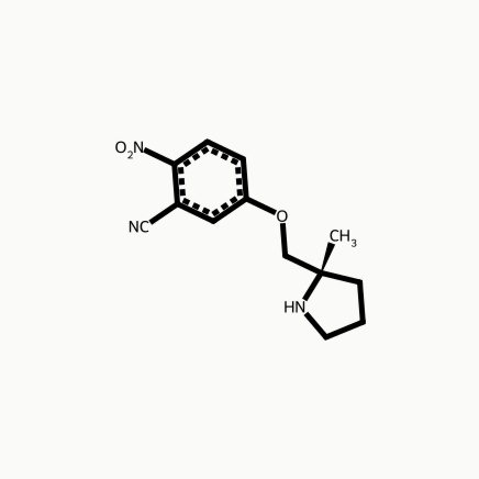 C[C@@]1(COc2ccc([N+](=O)[O-])c(C#N)c2)CCCN1